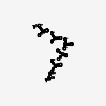 O=[Si]([O-])[O-].O=[Si]([O-])[O-].O=[Si]([O-])[O-].O=[Si]([O-])[O-].O=[Si]([O-])[O-].[Sr+2].[Sr+2].[Y+3].[Y+3]